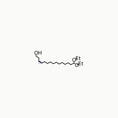 CCOC(CCCCCCCCCC/C=C\CCO)OCC